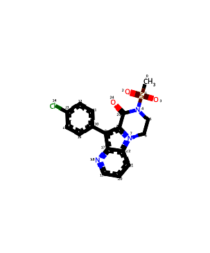 CS(=O)(=O)N1CCn2c(c(-c3ccc(Cl)cc3)c3ncccc32)C1=O